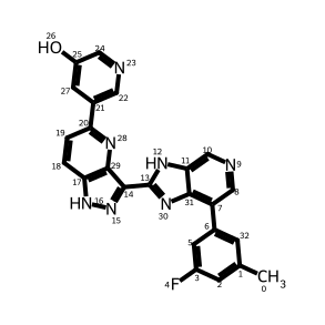 Cc1cc(F)cc(-c2cncc3[nH]c(-c4n[nH]c5ccc(-c6cncc(O)c6)nc45)nc23)c1